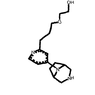 OCCOCCCc1cc(N2C3CCC2CNC3)ccn1